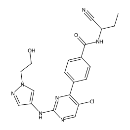 CCC(C#N)NC(=O)c1ccc(-c2nc(Nc3cnn(CCO)c3)ncc2Cl)cc1